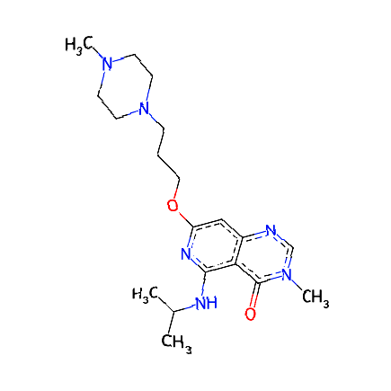 CC(C)Nc1nc(OCCCN2CCN(C)CC2)cc2ncn(C)c(=O)c12